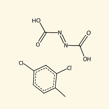 Cc1ccc(Cl)cc1Cl.O=C(O)N=NC(=O)O